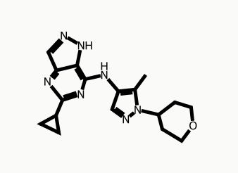 Cc1c(Nc2nc(C3CC3)nc3cn[nH]c23)cnn1C1CCOCC1